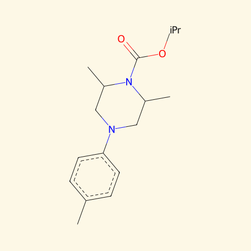 Cc1ccc(N2CC(C)N(C(=O)OC(C)C)C(C)C2)cc1